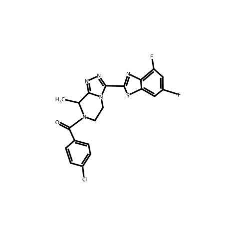 CC1c2nnc(-c3nc4c(F)cc(F)cc4s3)n2CCN1C(=O)c1ccc(Cl)cc1